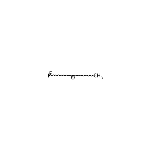 CCCCCCCCCCCCCCCCCC(=O)CCCCCCCCCCCCCCCCC(F)F